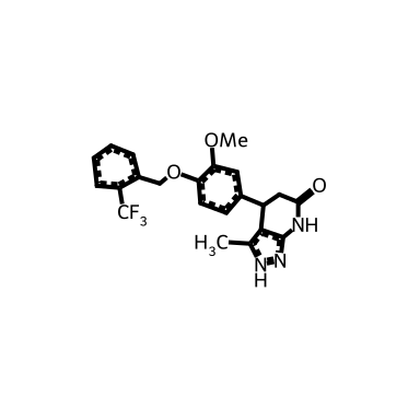 COc1cc(C2CC(=O)Nc3n[nH]c(C)c32)ccc1OCc1ccccc1C(F)(F)F